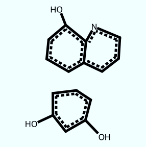 Oc1cccc(O)c1.Oc1cccc2cccnc12